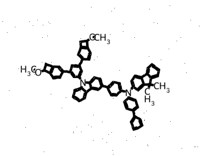 COC1Cc2cc(-c3cc(-c4ccc5c(c4)CC5OC)cc(-n4c5ccccc5c5cc(-c6ccc(N(c7ccc(-c8ccccc8)cc7)c7ccc8c(c7)C(C)(C)c7ccccc7-8)cc6)ccc54)c3)ccc21